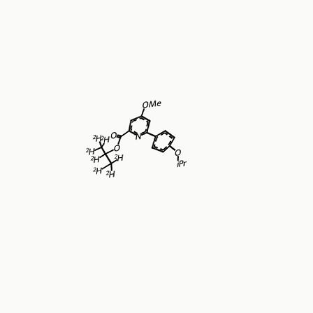 [2H]C([2H])([2H])C([2H])(OC(=O)c1cc(OC)cc(-c2ccc(OC(C)C)cc2)n1)C([2H])([2H])[2H]